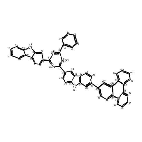 c1ccc(-c2nc(-c3ccc4c(c3)oc3ccccc34)nc(-c3ccc4oc5cc(-c6ccc7c8ccccc8c8ccccc8c7c6)ccc5c4c3)n2)cc1